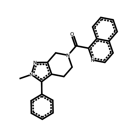 Cn1nc2c(c1-c1ccccc1)CCN(C(=O)c1nccc3ccccc13)C2